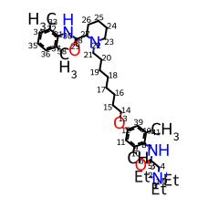 CC[N+](CC)(CC)CC(=O)Nc1c(C)cc(OCCCCCCCCN2CCCCC2C(=O)Nc2c(C)cccc2C)cc1C